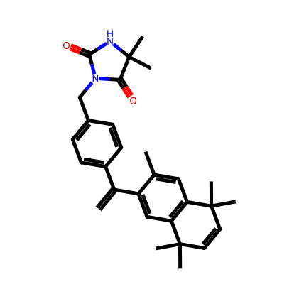 C=C(c1ccc(CN2C(=O)NC(C)(C)C2=O)cc1)c1cc2c(cc1C)C(C)(C)C=CC2(C)C